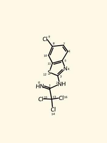 N=C(Nc1nc2ccc(Cl)cc2s1)C(Cl)(Cl)Cl